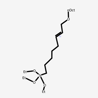 CCCCCCCCOC/C=C/CCCCC[Si](OCC)(OCC)OCC